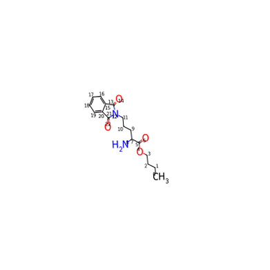 CCCCOC(=O)C(N)CCCN1C(=O)c2ccccc2C1=O